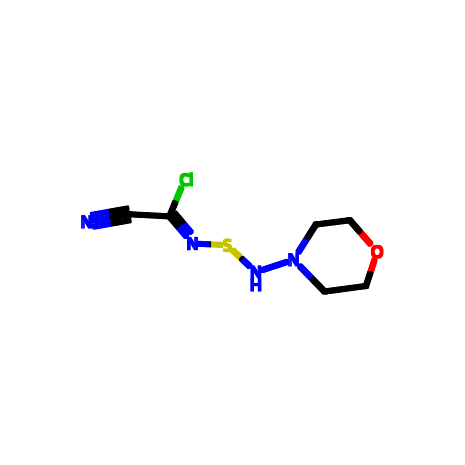 N#CC(Cl)=NSNN1CCOCC1